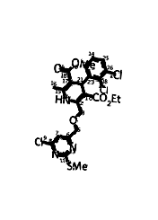 CCOC(=O)C1=C(COCc2cc(Cl)nc(SC)n2)NC(C)=C(C(=O)OC)C1c1cccc(Cl)c1Cl